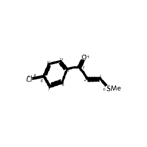 CSC=CC(=O)c1ccc(Cl)cc1